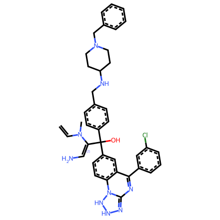 C=CN(C)/C(=C\N)C(O)(c1ccc(CNC2CCN(Cc3ccccc3)CC2)cc1)c1ccc2c(c1)C(c1cccc(Cl)c1)=NC1=NNNN12